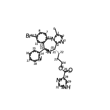 Cc1cnc2n1-c1ccc(Br)cc1C(c1ccccn1)=N[C@H]2CCCOC(=O)c1c[nH]cn1